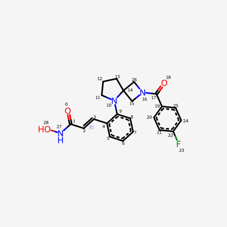 O=C(/C=C/c1ccccc1N1CCCC12CN(C(=O)c1ccc(F)cc1)C2)NO